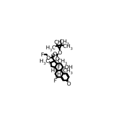 C[C@@H]1C[C@H]2[C@@H]3C[C@H](F)C4=CC(=O)C=C[C@]4(C)[C@@]3(F)[C@@H](O)C[C@]2(C)[C@@]1(OC(=O)OC1C(C)(C)C1(C)C)C(=O)OCF